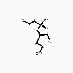 O=P(O)(CCO)OC(CCl)CCCl